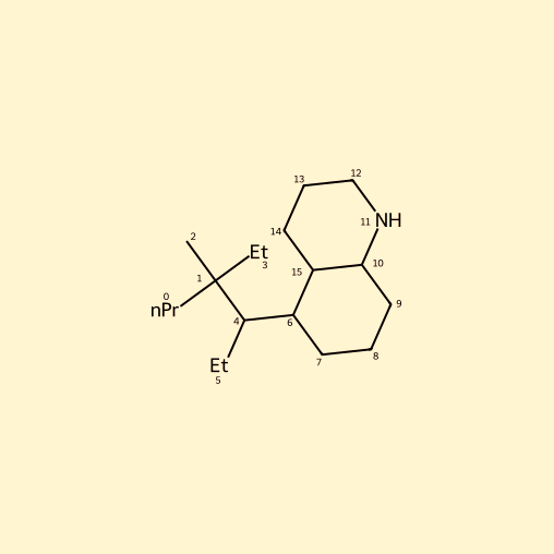 CCCC(C)(CC)C(CC)C1CCCC2NCCCC21